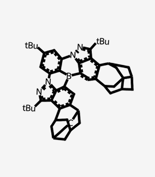 CC(C)(C)c1cc2c3c(c1)-n1nc(C(C)(C)C)c4c5c(cc(c41)B3c1cc3c(c4c(C(C)(C)C)nn-2c14)C1CC2CC(CC3C2)C1)C1CC2CC3CC5CC23C1